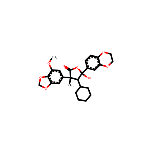 COc1cc(C2(C)C(=O)OC(O)(c3ccc4c(c3)OCCO4)C2C2CCCCC2)cc2c1OCO2